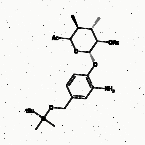 CC(=O)OC1[C@H](Oc2ccc(CO[Si](C)(C)C(C)(C)C)cc2N)OC(C(C)=O)[C@@H](C)[C@@H]1C